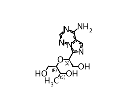 C[C@H](O)[C@@H](CO)O[C@H](CO)c1ncc2c(N)ncnn12